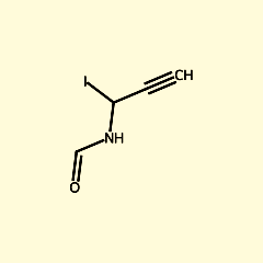 C#CC(I)NC=O